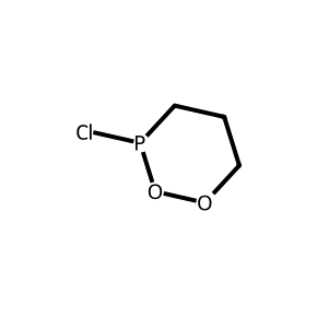 ClP1CCCOO1